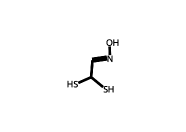 ON=CC(S)S